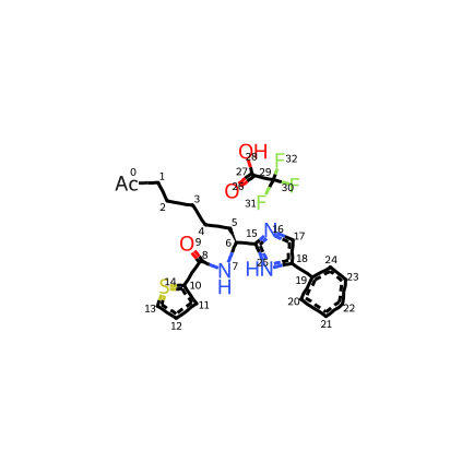 CC(=O)CCCCC[C@H](NC(=O)c1cccs1)c1ncc(-c2ccccc2)[nH]1.O=C(O)C(F)(F)F